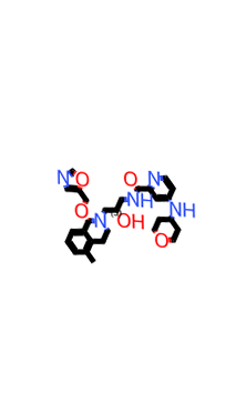 Cc1cccc2c1CCN(C[C@@H](O)CNC(=O)c1cc(NC3CCOCC3)ccn1)C2OCc1cnco1